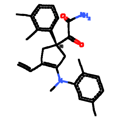 C=CC1=C(N(C)c2cc(C)ccc2C)C[C@](C(=O)C(N)=O)(c2cccc(C)c2C)C1